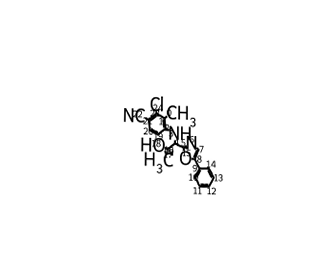 Cc1c(NC(c2ncc(-c3ccccc3)o2)[C@H](C)O)ccc(C#N)c1Cl